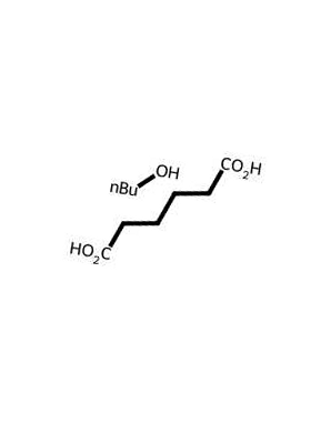 CCCCO.O=C(O)CCCCC(=O)O